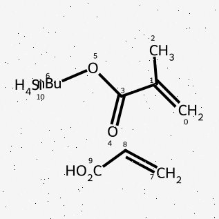 C=C(C)C(=O)OCCCC.C=CC(=O)O.[SiH4]